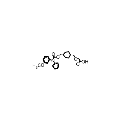 COc1cccc(N(C(=O)OC[C@H]2CC[C@@H](COCC(=O)O)CC2)c2ccccc2)c1